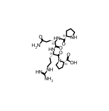 N=C(N)NCCC[C@H](NC(=O)[C@H](CCC(N)=O)NC(=O)[C@@H]1CCCN1)C(=O)N1CCC[C@H]1C(=O)O